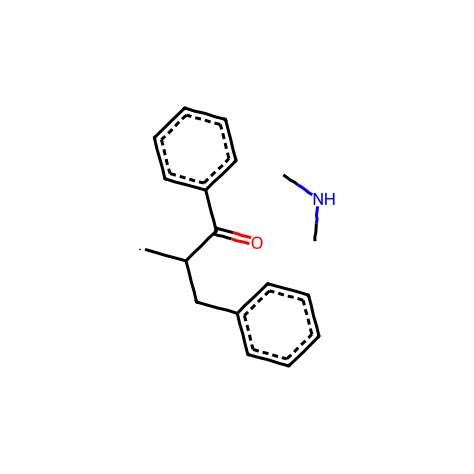 CNC.[CH2]C(Cc1ccccc1)C(=O)c1ccccc1